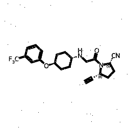 C#C[C@H]1CC[C@@H](C#N)N1C(=O)CN[C@H]1CC[C@H](Oc2cccc(C(F)(F)F)c2)CC1